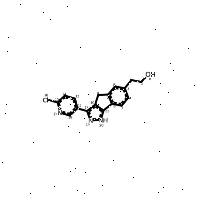 OCCc1ccc2c(c1)Cc1c(-c3ccc(Cl)nc3)n[nH]c1-2